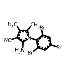 Cc1c(C#N)c(N)n(-c2c(Br)cc(Br)cc2Br)c1C